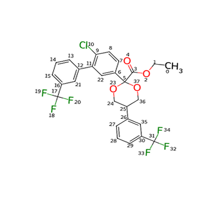 CCOC(=O)C1(c2ccc(Cl)c(-c3cccc(C(F)(F)F)c3)c2)OCC(c2cccc(C(F)(F)F)c2)CO1